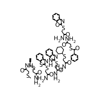 C#CCSCC(N)=O.CSCC(N)=O.NC(=O)CSC(=O)c1ccccc1.NC(=O)CSC1CCCCC1.NC(=O)CSc1nc2ccccc2[nH]1.NC(=O)CSc1nc2ccccc2o1.NC(=O)CSc1nc2ccccc2s1